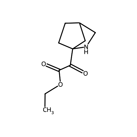 CCOC(=O)C(=O)C12CCC(CN1)C2